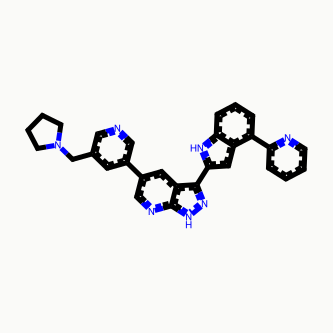 c1ccc(-c2cccc3[nH]c(-c4n[nH]c5ncc(-c6cncc(CN7CCCC7)c6)cc45)cc23)nc1